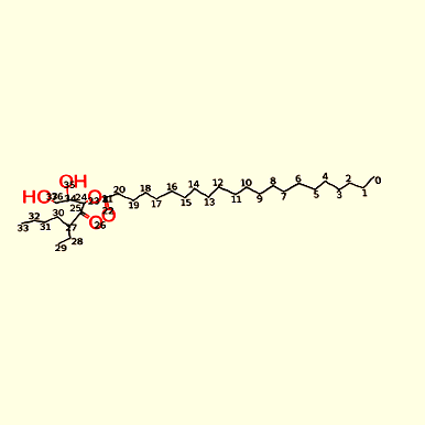 CCCCCCCCCCCCCCCCCCCCCC(=O)OC(C(=O)C(CC)CCCC)C(O)CO